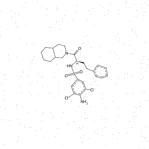 Nc1c(Cl)cc(S(=O)(=O)N[C@H](CCc2ccccc2)C(=O)N2CCC3CCCCC3C2)cc1Cl